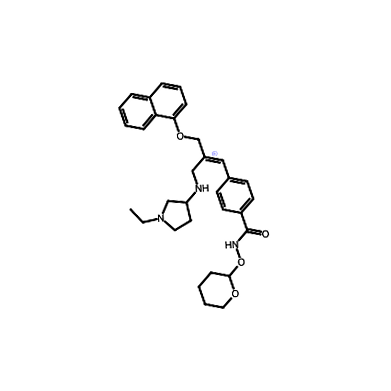 CCN1CCC(NC/C(=C\c2ccc(C(=O)NOC3CCCCO3)cc2)COc2cccc3ccccc23)C1